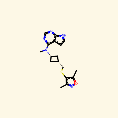 Cc1noc(C)c1SC[C@H]1C[C@@H](N(C)c2ncnc3[nH]ccc23)C1